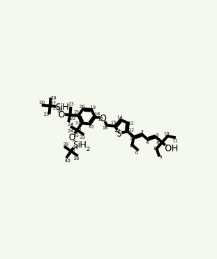 CCC(=CC=CC(O)(CC)CC)c1ccc(COc2ccc(C(C)(C)O[SiH2]C(C)(C)C)c(C(C)(C)O[SiH2]C(C)(C)C)c2)s1